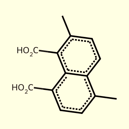 Cc1ccc2c(C)ccc(C(=O)O)c2c1C(=O)O